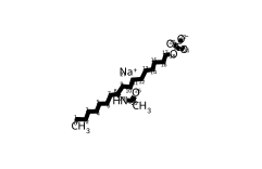 CCCCCCCCC(CCCCCCCCCOS(=O)(=O)[O-])NC(C)=O.[Na+]